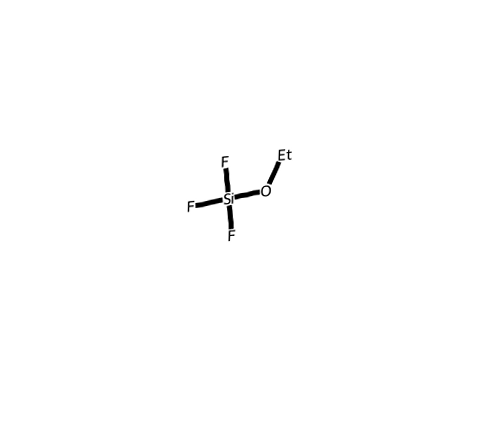 CCO[Si](F)(F)F